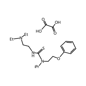 CCN(CC)CCNC(=S)N(CCOc1ccccc1)C(C)C.O=C(O)C(=O)O